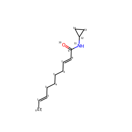 CCC=CCCCCC=CC(=O)NC1CC1